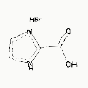 Br.O=C(O)c1ncc[nH]1